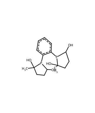 CC1(O)CCC(O)P1c1ccccc1P1C(O)CCC1(C)O